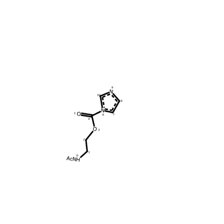 CC(=O)NCCOC(=O)n1ccnc1